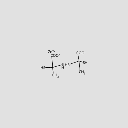 CC(S)(S)C(=O)[O-].CC(S)(S)C(=O)[O-].[Zn+2]